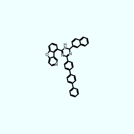 c1ccc(-c2ccc(-c3ccc(C4=NC(c5ccc6ccccc6c5)NC(c5cccc6oc7ccncc7c56)=N4)cc3)cc2)cc1